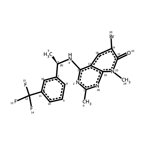 Cc1nc(N[C@H](C)c2cccc(C(F)(F)F)c2)c2cc(Br)c(=O)n(C)c2n1